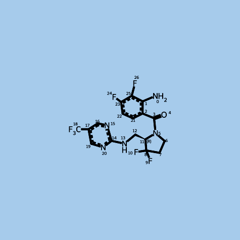 Nc1c(C(=O)N2CCC(F)(F)[C@H]2CNc2ncc(C(F)(F)F)cn2)ccc(F)c1F